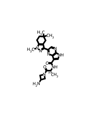 C[C@@H](NC(=O)c1c[nH]c2ncc(-c3nn(C)c4c3CC(C)(C)CC4)nc12)C(=O)N1CC(N)C1